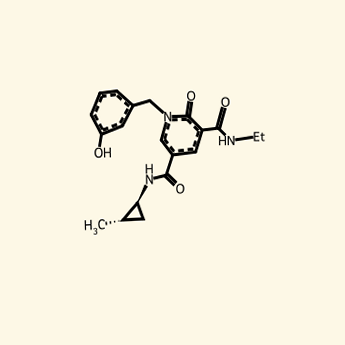 CCNC(=O)c1cc(C(=O)N[C@H]2C[C@@H]2C)cn(Cc2cccc(O)c2)c1=O